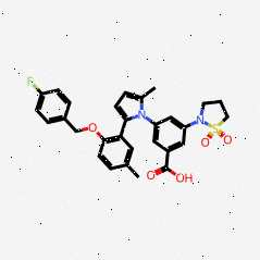 Cc1ccc(OCc2ccc(F)cc2)c(-c2ccc(C)n2-c2cc(C(=O)O)cc(N3CCCS3(=O)=O)c2)c1